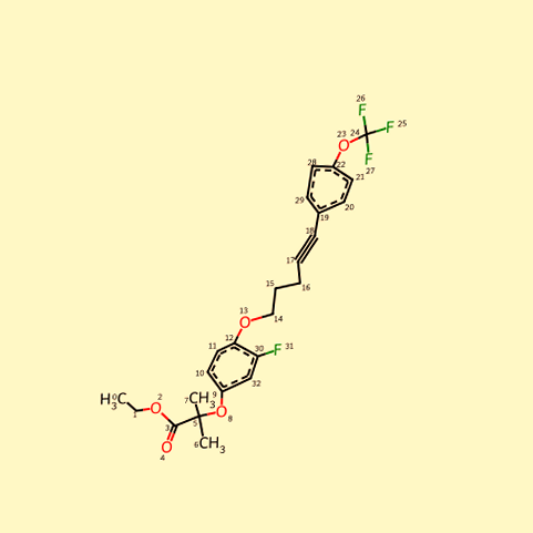 CCOC(=O)C(C)(C)Oc1ccc(OCCCC#Cc2ccc(OC(F)(F)F)cc2)c(F)c1